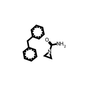 NC(=O)N1CC1.c1ccc(Cc2ccccc2)cc1